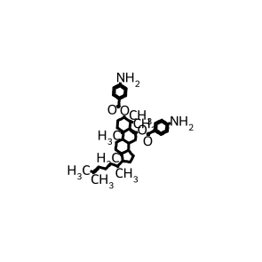 CC(C)=CCCC(C)C1CCC2C3CC(OC(=O)c4ccc(N)cc4)=C4C(C)(C)C(OC(=O)c5ccc(N)cc5)CCC4(C)C3CCC12C